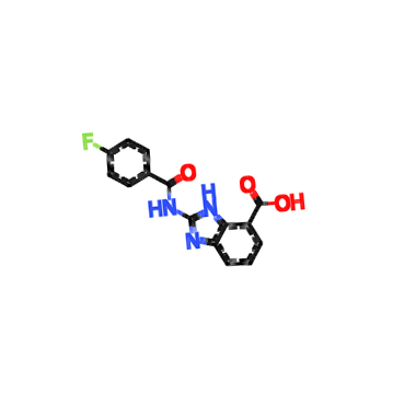 O=C(Nc1nc2cccc(C(=O)O)c2[nH]1)c1ccc(F)cc1